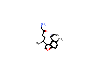 Cc1ccc2occ(C(C)CCC(=O)CN)c2c1/C=C\C(C)C